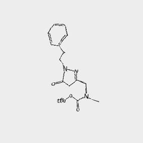 CN(CC1=NN(CCc2ccccc2)C(=O)C1)C(=O)OC(C)(C)C